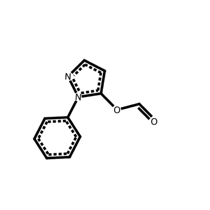 O=COc1ccnn1-c1ccccc1